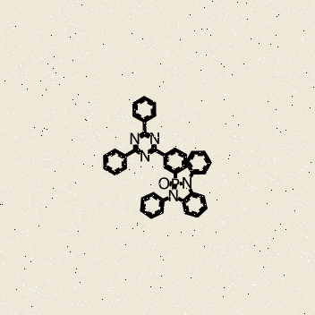 O=P1(c2cccc(-c3nc(-c4ccccc4)nc(-c4ccccc4)n3)c2)N(c2ccccc2)c2ccccc2N1c1ccccc1